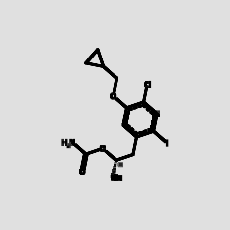 CC(C)(C)[C@@H](Cc1cc(OCC2CC2)c(Cl)nc1I)OC(N)=O